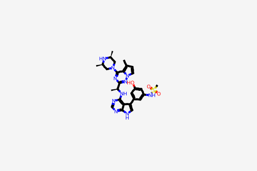 Cc1ccn2nc([C@H](C)Nc3ncnc4[nH]cc(-c5cc(O)cc(NS(C)(=O)=O)c5)c34)nc(N3C[C@@H](C)N[C@@H](C)C3)c12